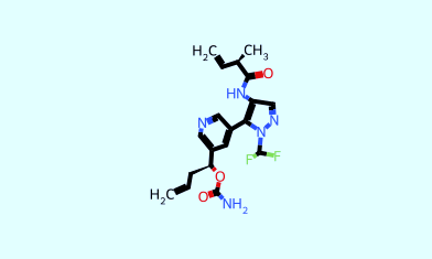 C=CC[C@H](OC(N)=O)c1cncc(-c2c(NC(=O)[C@H](C)C=C)cnn2C(F)F)c1